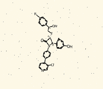 O=C1[C@H](SC[C@H](O)c2ccc(F)cc2)[C@@H](c2ccc(O)cc2)N1c1ccc(-c2ccncc2Cl)cc1